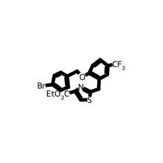 CCOC(=O)c1csc(Cc2cc(C(F)(F)F)ccc2OCc2ccc(Br)cc2)n1